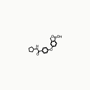 O=C(NC1CCCC1)c1ccc(Oc2ccc3c(c2)COB3O)cc1